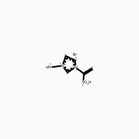 C=C([n+]1ccn(CCC)c1)S(=O)(=O)O.[Br-]